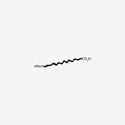 CCCCCC=CC/C=C/CCCCCCCCCC(=O)O